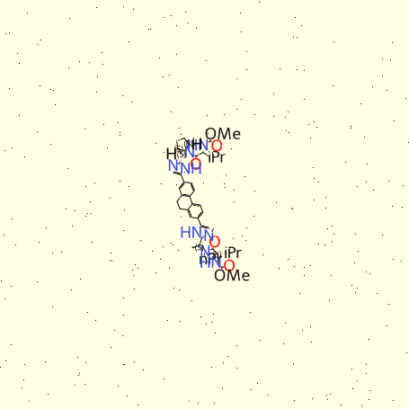 CCCN(C(=O)[C@@H](NC(=O)OC)C(C)C)[C@@H](C)c1ncc(-c2ccc3c(c2)CCc2cc(-c4cnc([C@@H]5[C@H]6CC[C@H](C6)N5C(=O)C(NC(=O)OC)C(C)C)[nH]4)ccc2-3)[nH]1